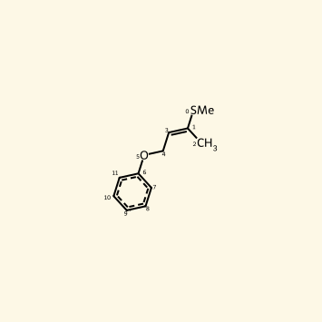 CSC(C)=CCOc1cc[c]cc1